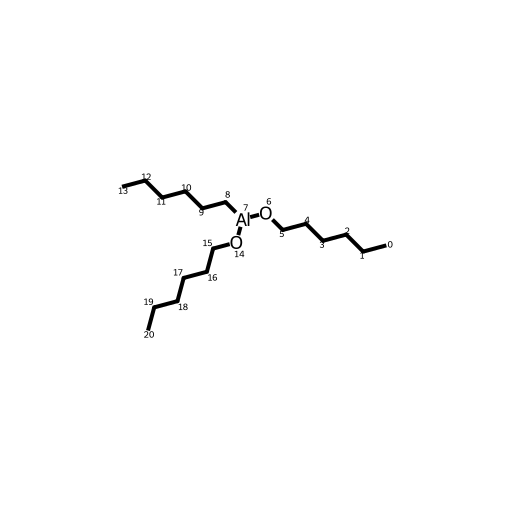 CCCCCC[O][Al]([CH2]CCCCC)[O]CCCCCC